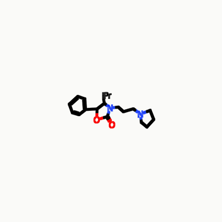 CC(C)C1C(c2ccccc2)OC(=O)N1CCCN1CCCC1